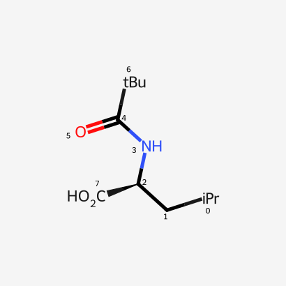 CC(C)C[C@H](NC(=O)C(C)(C)C)C(=O)O